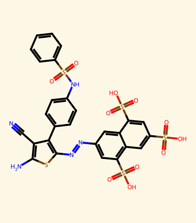 N#Cc1c(N)sc(/N=N/c2cc(S(=O)(=O)O)c3cc(S(=O)(=O)O)cc(S(=O)(=O)O)c3c2)c1-c1ccc(NS(=O)(=O)c2ccccc2)cc1